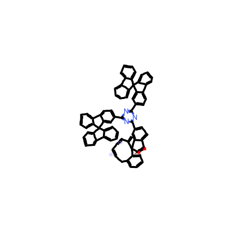 C=C1/C=C\C=C/Cc2ccccc2C12c1ccccc1-c1ccc(-c3nc(-c4ccc5c(c4)C4(c6ccccc6-c6ccccc64)c4ccccc4-5)nc(-c4ccc5c(c4)C4(c6ccccc6-c6ccccc64)c4ccccc4-5)n3)cc12